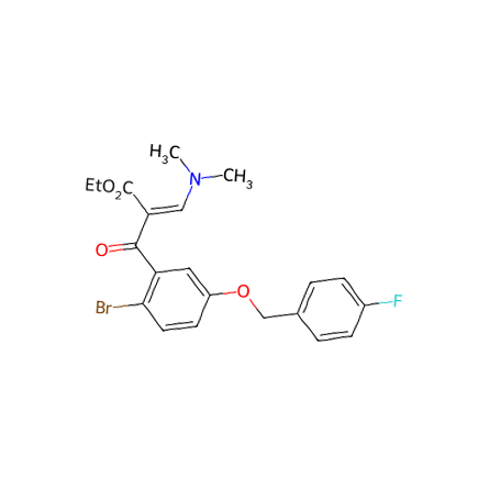 CCOC(=O)C(=CN(C)C)C(=O)c1cc(OCc2ccc(F)cc2)ccc1Br